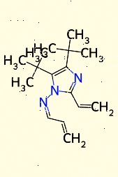 C=C/C=N\n1c(C=C)nc(C(C)(C)C)c1C(C)(C)C